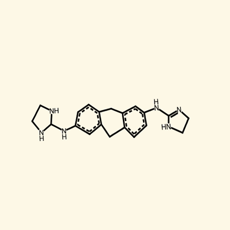 c1cc2c(cc1NC1=NCCN1)Cc1ccc(NC3NCCN3)cc1C2